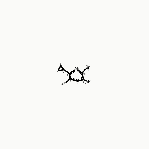 CC(C)c1cc(F)c(C2CC2)nc1Br